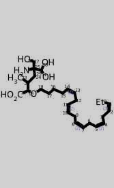 CC/C=C\C/C=C\C/C=C\C/C=C\C/C=C\CCCCOC(C(=O)O)C(C)CC(N)(CO)C(O)O